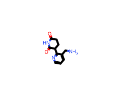 NCc1cccnc1C1CCC(=O)NC1=O